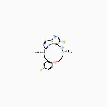 CCCCN1Cc2cc(F)ccc2OCC[C@@H](C)Nc2c(F)cnc3ccc1nc23